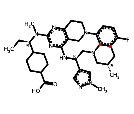 CC[C@H](C1CCC(C(=O)O)CC1)N(C)c1nc2c(c(N[C@@H](CN3CCC[C@H](C)C3)c3cnn(C)c3)n1)CN(c1ccc(F)cc1)CC2